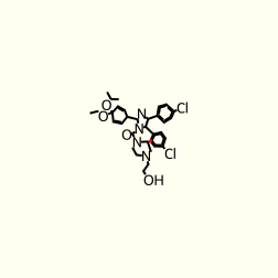 CCOC1(OC(C)C)C=CC(C2=NC(c3ccc(Cl)cc3)C(c3ccc(Cl)cc3)N2C(=O)N2CCN(CCO)CC2)C=C1